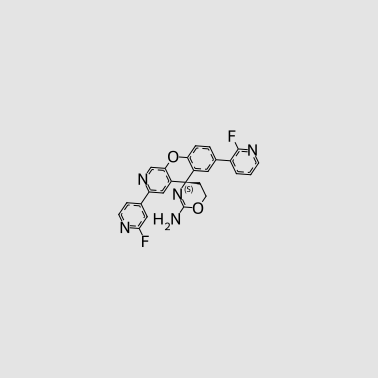 NC1=N[C@@]2(CCO1)c1cc(-c3cccnc3F)ccc1Oc1cnc(-c3ccnc(F)c3)cc12